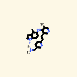 CCN(CC)Cc1ccc(C=Cc2cncc(C#N)c2Nc2ccc3[nH]ccc3c2C)nc1